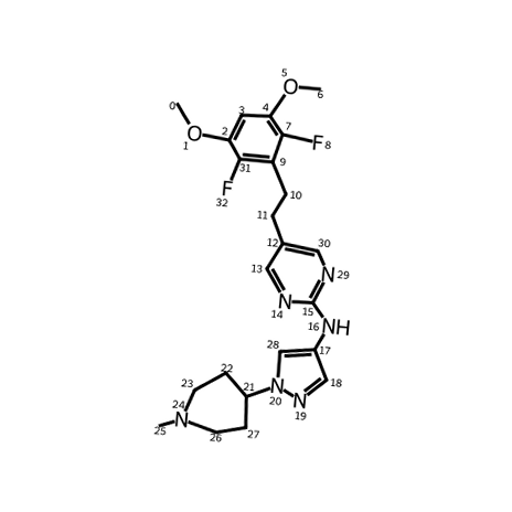 COc1cc(OC)c(F)c(CCc2cnc(Nc3cnn(C4CCN(C)CC4)c3)nc2)c1F